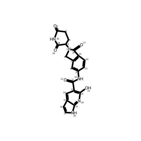 O=C1CCC(N2Cc3cc(NC(=O)c4cc5cc[nH]c5nc4O)ccc3C2=O)C(=O)N1